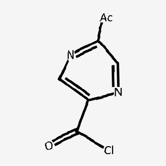 CC(=O)c1cnc(C(=O)Cl)cn1